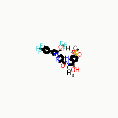 CCS(=O)(=O)c1ccc([C@H](CO)C(C)NC(=O)c2ccc(N3C[C@H](c4ccc(C(F)(F)F)cc4)C[C@H]3COC(F)(F)F)nc2)cc1